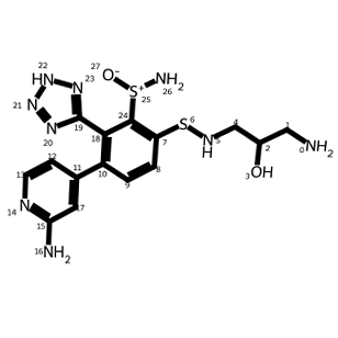 NCC(O)CNSc1ccc(-c2ccnc(N)c2)c(-c2nn[nH]n2)c1[S+](N)[O-]